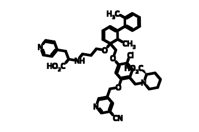 Cc1ccccc1C1=CC=CC(COc2cc(OCc3cncc(C#N)c3)c(CN3CCCC[C@H]3C(=O)O)cc2Cl)(OCCCNC(Cc2ccncc2)C(=O)O)C1C